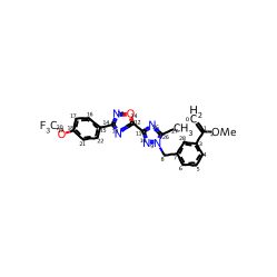 C=C(OC)c1cccc(Cn2nc(-c3nc(-c4ccc(OC(F)(F)F)cc4)no3)nc2C)c1